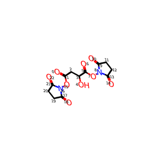 O=C(CC(O)C(=O)ON1C(=O)CCC1=O)ON1C(=O)CCC1=O